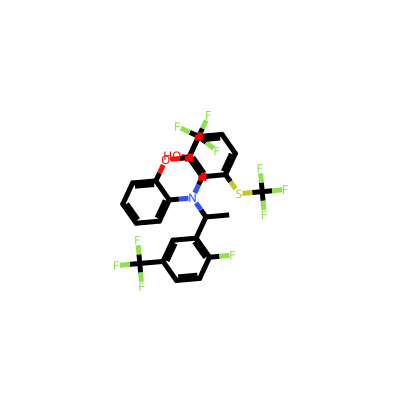 CC(c1cc(C(F)(F)F)ccc1F)N(CC(O)C(F)(F)F)c1ccccc1Oc1cccc(SC(F)(F)F)c1